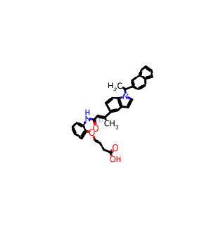 C/C(=C\C(=O)Nc1ccccc1OCCCC(=O)O)c1ccc2c(ccn2C(C)c2ccc3ccccc3c2)c1